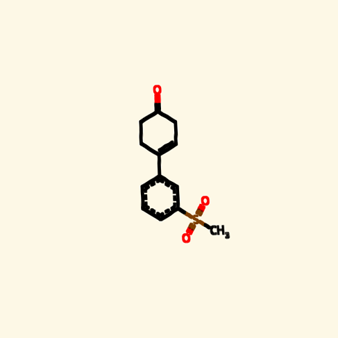 CS(=O)(=O)c1cccc(C2=CCC(=O)CC2)c1